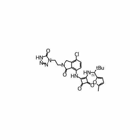 Cc1ccc([C@@H](Nc2c(Nc3ccc(Cl)c4c3C(=O)N(CCn3nn[nH]c3=O)C4)c(=O)c2=O)C(C)(C)C)o1